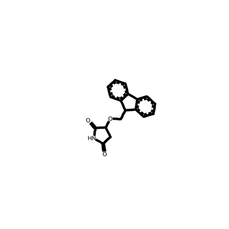 O=C1CC(OCC2c3ccccc3-c3ccccc32)C(=O)N1